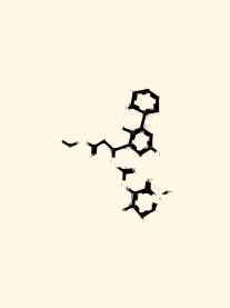 CCOC(=O)CC(NC(=O)Nc1c(O)ccn(C)c1=O)c1cc(C)cc(-c2ccccc2C)c1C